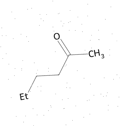 [CH2]CCCC(C)=O